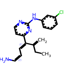 C=C(CC)/C(=C\C=C/N)c1ccnc(Nc2cccc(Cl)c2)n1